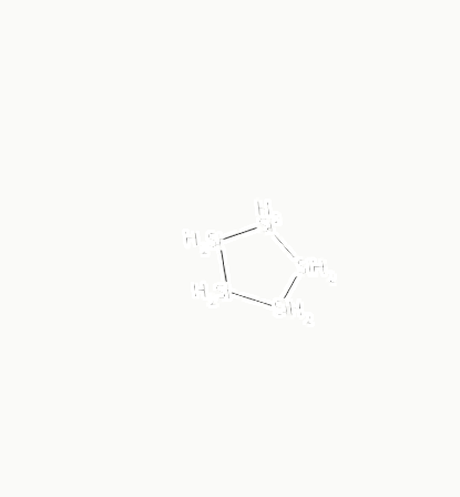 [SiH2]1[SiH2][SiH2][SiH2][SiH2]1